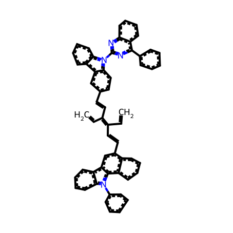 C=CC(/C=C/c1ccc2c(c1)c1ccccc1n2-c1nc(-c2ccccc2)c2ccccc2n1)=C(C=C)\C=C\c1cc2c3ccccc3n(-c3ccccc3)c2c2ccccc12